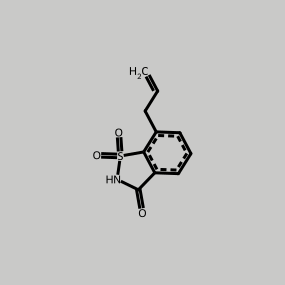 C=CCc1cccc2c1S(=O)(=O)NC2=O